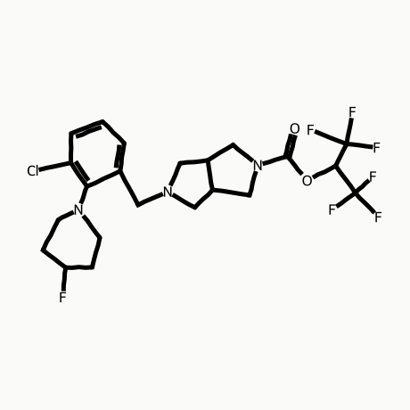 O=C(OC(C(F)(F)F)C(F)(F)F)N1CC2CN(Cc3cccc(Cl)c3N3CCC(F)CC3)CC2C1